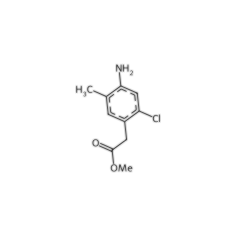 COC(=O)Cc1cc(C)c(N)cc1Cl